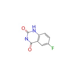 O=C1[N]C(=O)c2cc(F)ccc2N1